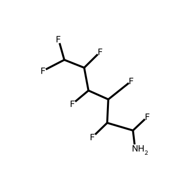 NC(F)C(F)C(F)C(F)C(F)C(F)F